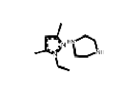 C1CNCCN1.CCn1nc(C)cc1C